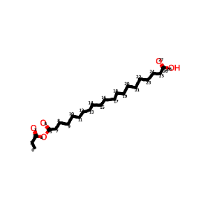 CCC(=O)OC(=O)CCCCCCCCCCCCCCCCCCCC(=O)O